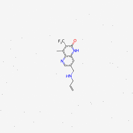 C=CCNCc1cnc2c(C)c(C(F)(F)F)c(=O)[nH]c2c1